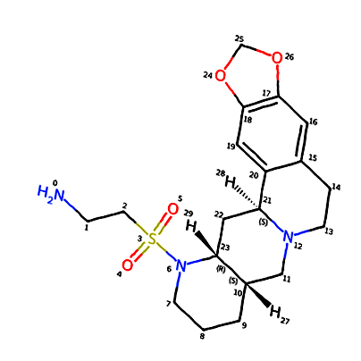 NCCS(=O)(=O)N1CCC[C@H]2CN3CCc4cc5c(cc4[C@@H]3C[C@H]21)OCO5